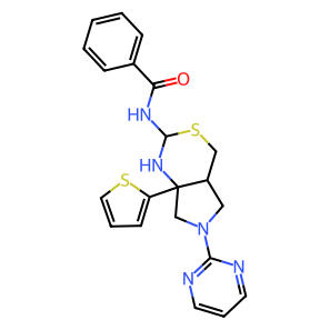 O=C(NC1NC2(c3cccs3)CN(c3ncccn3)CC2CS1)c1ccccc1